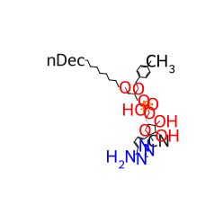 CCCCCCCCCCCCCCCCCCOC[C@H](COP(=O)(O)OC[C@H]1O[C@@](C#N)(c2ccc3c(N)ncnn23)[C@H](O)[C@@H]1O)OCc1ccc(C)cc1